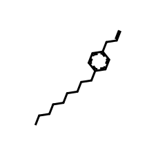 C=CCc1ccc(CCCCCCCCC)cc1